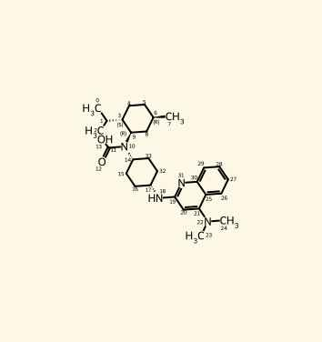 CC(C)[C@@H]1CC[C@@H](C)C[C@H]1N(C(=O)O)[C@H]1CC[C@@H](Nc2cc(N(C)C)c3ccccc3n2)CC1